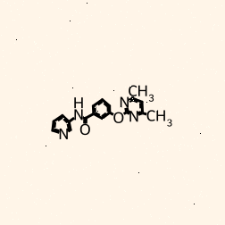 Cc1cc(C)nc(Oc2cccc(C(=O)Nc3cccnc3)c2)n1